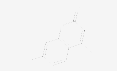 Cc1cc(=O)oc2cc(Br)ccc12